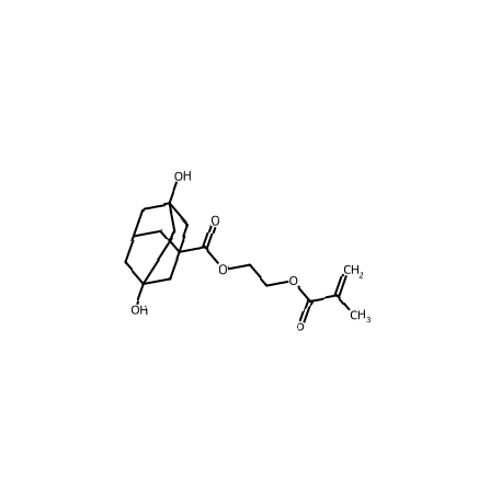 C=C(C)C(=O)OCCOC(=O)C12CC3CC(O)(CC(O)(C3)C1)C2